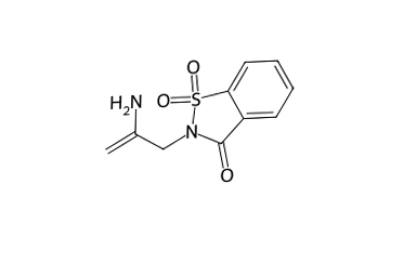 C=C(N)CN1C(=O)c2ccccc2S1(=O)=O